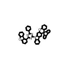 c1ccc(-c2nc(-c3cccc4oc5ccccc5c34)nc(-n3c4ccccc4c4cc5c(cc43)Oc3ccccc3C53c4ccccc4-c4ccccc43)n2)cc1